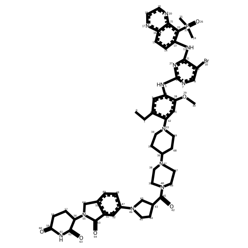 CCc1cc(Nc2ncc(Br)c(Nc3ccc4nccnc4c3P(C)(C)=O)n2)c(OC)cc1N1CCC(N2CCN(C(=O)C3CCN(c4ccc5c(c4)C(=O)N(C4CCC(=O)NC4=O)C5)C3)CC2)CC1